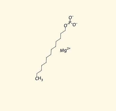 CCCCCCCCCCCCCOP([O-])[O-].[Mg+2]